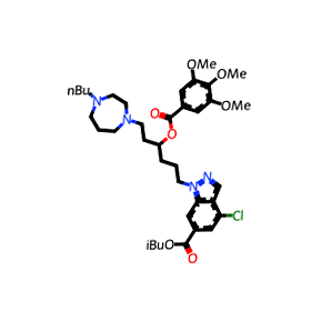 CCCCN1CCCN(CCC(CCCn2ncc3c(Cl)cc(C(=O)OCC(C)C)cc32)OC(=O)c2cc(OC)c(OC)c(OC)c2)CC1